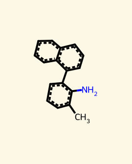 Cc1cccc(-c2cccc3ccccc23)c1N